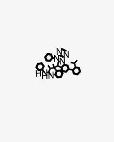 CC(C)c1ccccc1-c1ccc2c(c1)N1c3nccnc3N(c3ccccc3)C1C2C1(C)c2ccccc2NC(Nc2ccccc2)C1C